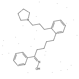 ON=C(CCCCc1ccccc1CCCN1CCCC1)c1ccccc1